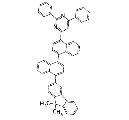 CC1(C)c2ccccc2-c2cc(-c3ccc(-c4ccc(-c5cc(-c6ccccc6)nc(-c6ccccc6)n5)c5ccccc45)c4ccccc34)ccc21